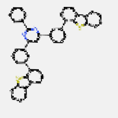 c1ccc(-c2nc(-c3cccc(-c4cccc5c4sc4ccccc45)c3)cc(-c3cccc(-c4cccc5c4sc4ccccc45)c3)n2)cc1